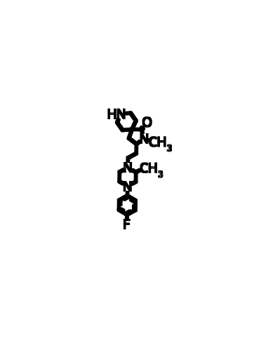 CC1CN(c2ccc(F)cc2)CCN1CCC1CC2(CCNCC2)C(=O)N1C